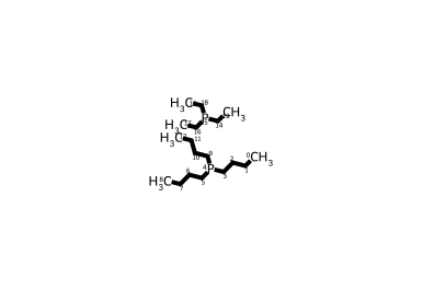 CCCCP(CCCC)CCCC.CCP(CC)CC